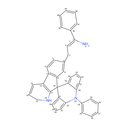 N/C(=C\Cc1ccc2c(c1)C1(C3=C2C=CCN3)c2ccccc2N(c2ccccc2)c2ccccc21)c1ccccc1